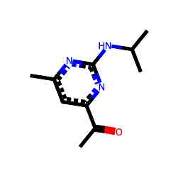 CC(=O)c1cc(C)nc(NC(C)C)n1